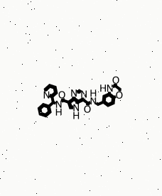 O=C1COc2ccc(CNC(=O)c3ncnc4c(C(=O)NC(c5ccccc5)c5ccccn5)c[nH]c34)cc2N1